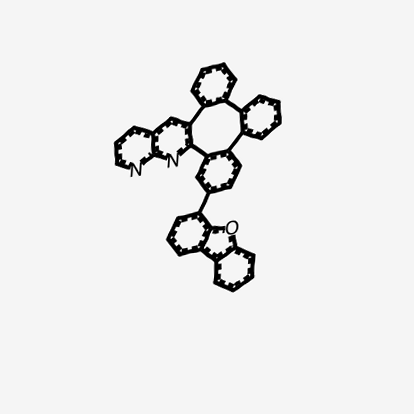 c1ccc2c(c1)-c1ccccc1-c1cc3cccnc3nc1-c1cc(-c3cccc4c3oc3ccccc34)ccc1-2